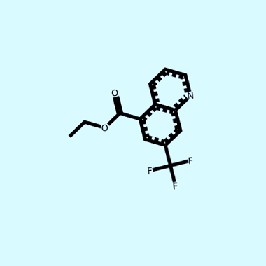 CCOC(=O)c1cc(C(F)(F)F)cc2ncccc12